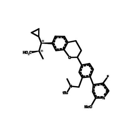 COc1cc(-c2ccc(C3CCc4ccc([C@H](C5CC5)[C@@H](C)C(=O)O)cc4O3)cc2CN(C)C(C)(C)C)c(F)cn1